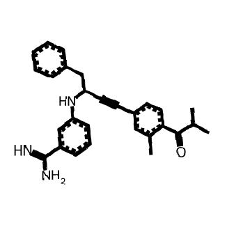 Cc1cc(C#CC(Cc2ccccc2)Nc2cccc(C(=N)N)c2)ccc1C(=O)C(C)C